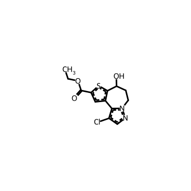 CCOC(=O)c1cc2c(s1)C(O)CCn1ncc(Cl)c1-2